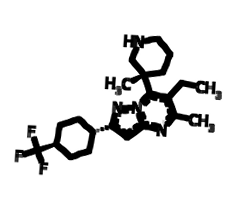 CCc1c(C)nc2cc([C@H]3CC[C@H](C(F)(F)F)CC3)nn2c1[C@@]1(C)CCCNC1